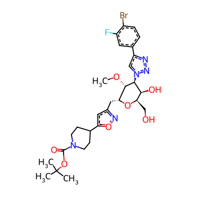 CO[C@@H]1[C@@H](n2cc(-c3ccc(Br)c(F)c3)nn2)[C@@H](O)[C@@H](CO)O[C@@H]1Cc1cc(C2CCN(C(=O)OC(C)(C)C)CC2)on1